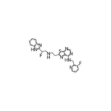 Fc1cccnc1CNc1ncnc2sc(CCNCC(F)c3nc4ccccc4[nH]3)nc12